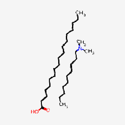 CCCCCCCCCCCCCCCCCC(=O)O.CCCCCCCCCCN(C)C